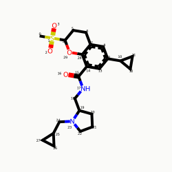 CS(=O)(=O)C1CCc2cc(C3CC3)cc(C(=O)NCC3CCCN3CC3CC3)c2O1